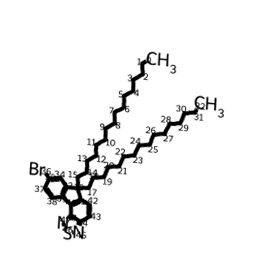 CCCCCCCCCCCCCCCCC1(CCCCCCCCCCCCCCCC)c2cc(Br)ccc2-c2c1ccc1nsnc21